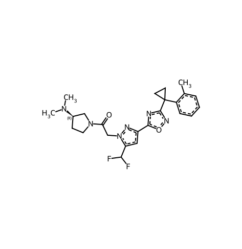 Cc1ccccc1C1(c2noc(-c3cc(C(F)F)n(CC(=O)N4CC[C@@H](N(C)C)C4)n3)n2)CC1